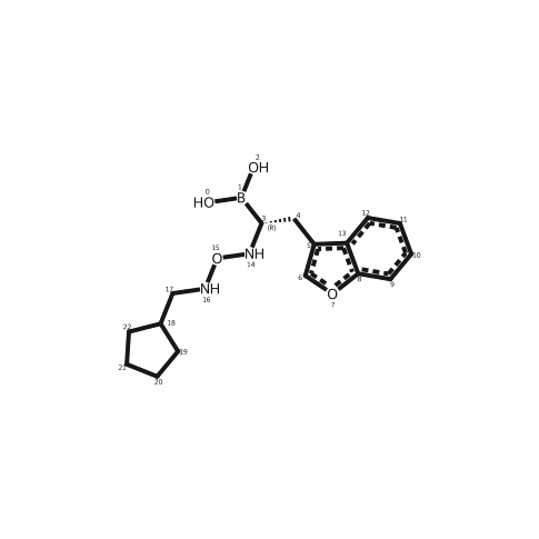 OB(O)[C@H](Cc1coc2ccccc12)NONCC1CCCC1